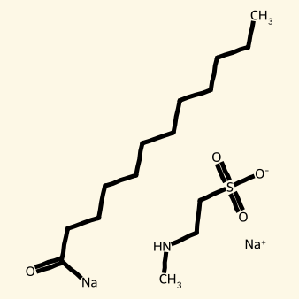 CCCCCCCCCCC[C](=O)[Na].CNCCS(=O)(=O)[O-].[Na+]